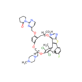 Cc1c(Cl)c2c(Cl)c(C)c1-c1c(-c3ccc(F)cc3)sc3ncnc(c13)O[C@@H](C(=O)O)Cc1cc(ccc1OCc1ccnc(N3CCCCC3=O)n1)OC[C@@H](CN1CCN(C)CC1)O2